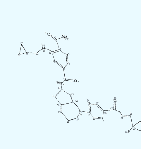 NC(=O)c1ccc(C(=O)NC2CC3CCCN(c4ccc(C(=O)CCC(F)(F)F)cn4)C3C2)cc1NCC1CC1